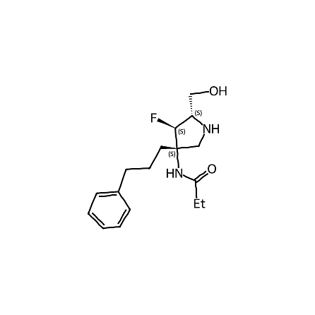 CCC(=O)N[C@@]1(CCCc2ccccc2)CN[C@@H](CO)[C@@H]1F